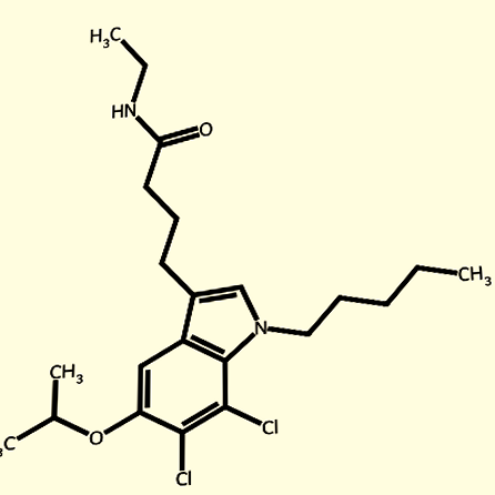 CCCCCn1cc(CCCC(=O)NCC)c2cc(OC(C)C)c(Cl)c(Cl)c21